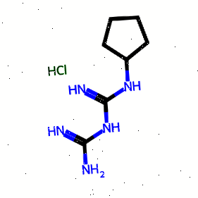 Cl.N=C(N)NC(=N)NC1CCCC1